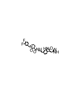 O=C1Nc2cc(C=CCNC(=O)C3CCCN(Cc4ccc(F)c(F)c4)C3=O)ccc2C1=Cc1cnc[nH]1